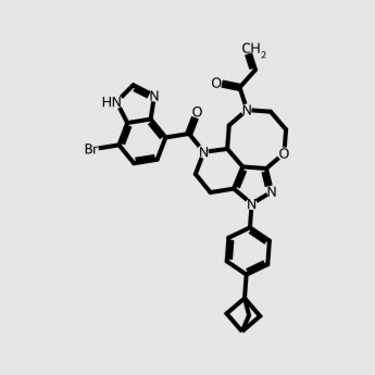 C=CC(=O)N1CCOc2nn(-c3ccc(C45CC(C4)C5)cc3)c3c2C(C1)N(C(=O)c1ccc(Br)c2[nH]cnc12)CC3